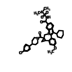 COc1ccc2c(c1)C1CC1(C(=O)N1CCC(c3ccc(Cl)cc3)CC1)Cn1c-2c(C2CCCCC2)c2ccc(C(=O)NS(=O)(=O)N(C)C)cc21